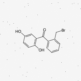 O=C(c1cc(O)ccc1O)c1ccccc1CBr